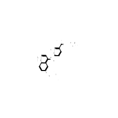 COC(=O)c1ccc(Nc2ccnc3ccc([N+](=O)[O-])cc23)nc1